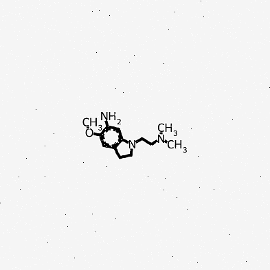 COc1cc2c(cc1N)N(CCN(C)C)CC2